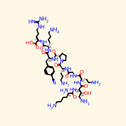 N#Cc1c#cc(C[C@H](NC(=O)[C@@H]2CCCN2C(=O)[C@@H](CCCN)NC(=O)CNC(=O)[C@H](CCN)NC(=O)[C@H](NC(=O)[C@@H](N)CCCCN)[C@@H](O)CN)C(=O)N[C@@H](CCCCN)C(=O)N/C(=C\CCNC(=N)N)C(=O)O)cc1